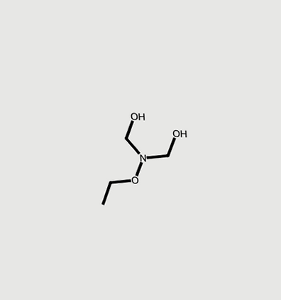 CCON(CO)CO